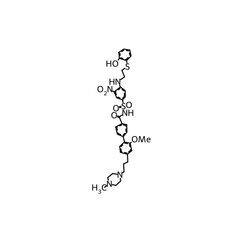 COc1cc(CCCN2CCN(C)CC2)ccc1-c1ccc(C(=O)NS(=O)(=O)c2ccc(NCCSc3ccccc3O)c([N+](=O)[O-])c2)cc1